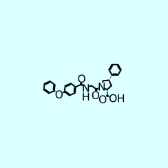 O=C(NCC(=O)N1C[C@H](c2ccccc2)C[C@H]1C(=O)O)c1ccc(Oc2ccccc2)cc1